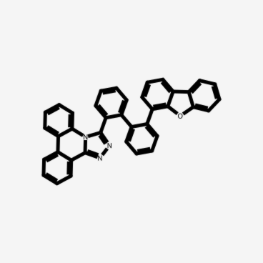 c1ccc(-c2cccc3c2oc2ccccc23)c(-c2ccccc2-c2nnc3c4ccccc4c4ccccc4n23)c1